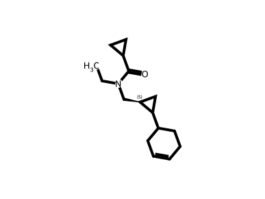 CCN(C[C@H]1CC1C1CC=CCC1)C(=O)C1CC1